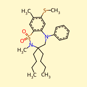 CCCCC1(CCCC)CN(c2ccccc2)c2cc(SC)c(C)cc2S(=O)(=O)N1C